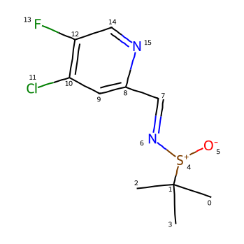 CC(C)(C)[S+]([O-])N=Cc1cc(Cl)c(F)cn1